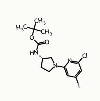 CC(C)(C)OC(=O)N[C@H]1CCN(c2cc(I)cc(Cl)n2)C1